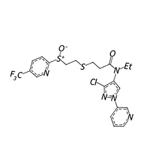 CCN(C(=O)CCSCC[S+]([O-])c1ccc(C(F)(F)F)cn1)c1cn(-c2cccnc2)nc1Cl